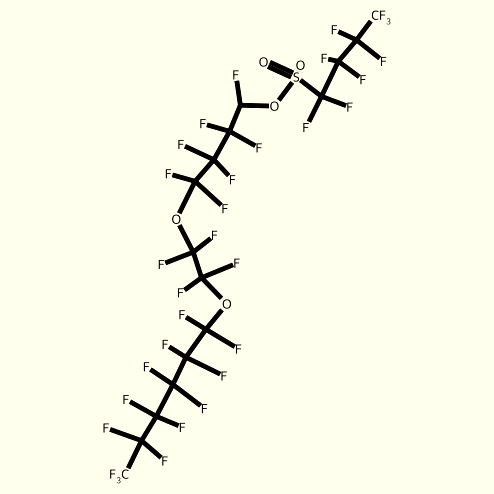 O=S(=O)(OC(F)C(F)(F)C(F)(F)C(F)(F)OC(F)(F)C(F)(F)OC(F)(F)C(F)(F)C(F)(F)C(F)(F)C(F)(F)C(F)(F)F)C(F)(F)C(F)(F)C(F)(F)C(F)(F)F